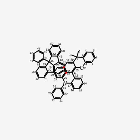 CC1(C)c2ccccc2Oc2c(-c3ccccc3N(c3ccccc3)c3cccc(-c4ccccc4C4(c5ccccc5)c5ccccc5-c5ccccc54)c3)cccc21